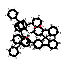 c1ccc(-c2ccc(N(c3ccc4c(c3)C3(c5ccccc5-c5ccc(-c6nc(-c7ccccc7)nc(-c7ccccc7)n6)cc53)c3ccccc3-4)c3cccc4ccccc34)c(-c3ccccc3)c2)cc1